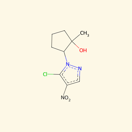 CC1(O)CCCC1n1ncc([N+](=O)[O-])c1Cl